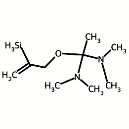 C=C([SiH3])COC(C)(N(C)C)N(C)C